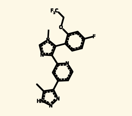 Cc1[nH]nnc1-c1ccnc(-c2ncn(C)c2-c2ccc(F)cc2OCC(F)(F)F)c1